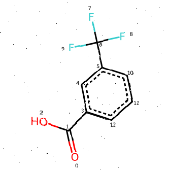 O=C(O)c1[c]c(C(F)(F)F)ccc1